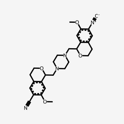 [C-]#[N+]c1cc2c(cc1OC)C(CN1CCN(CC3OCCc4cc(C#N)c(OC)cc43)CC1)OCC2